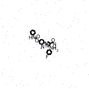 C/N=C1\C[C@H](OC(=O)Nc2ccccc2)CC[C@@H]1n1cc(C(N)=O)c(Nc2ccc(F)cc2)n1